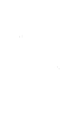 CCC/C=C/C1CCC(c2ccccc2C#N)CC1